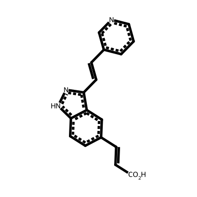 O=C(O)C=Cc1ccc2[nH]nc(C=Cc3cccnc3)c2c1